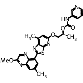 COc1cnc2c(-c3nc4c(C)cc(OC[C@@H](C)OC(=O)Nc5cccnc5)nc4s3)cc(C)cc2n1